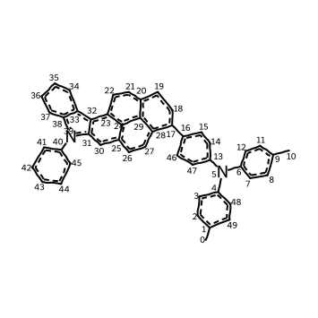 Cc1ccc(N(c2ccc(C)cc2)c2ccc(-c3ccc4ccc5c6c(ccc3c46)cc3c5c4ccccc4n3-c3ccccc3)cc2)cc1